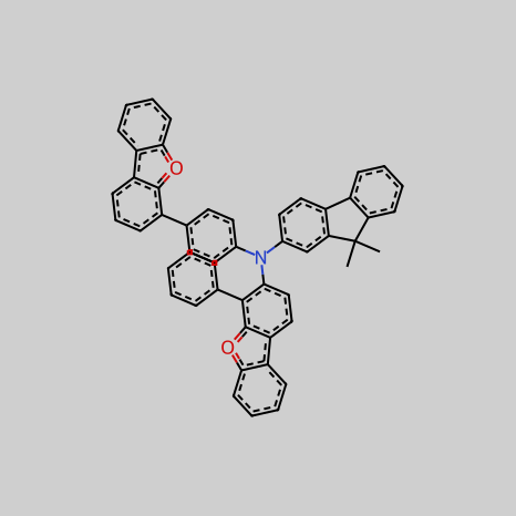 CC1(C)c2ccccc2-c2ccc(N(c3ccc(-c4cccc5c4oc4ccccc45)cc3)c3ccc4c(oc5ccccc54)c3-c3ccccc3)cc21